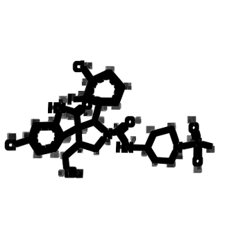 CC(C)(C)CC1CN(C(=O)NC2CCN(S(C)(=O)=O)CC2)C(c2cccc(Cl)c2F)C12C(=O)Nc1cc(Cl)ccc12